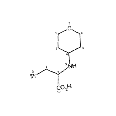 CC(C)C[C@H](NC1CCOCC1)C(=O)O